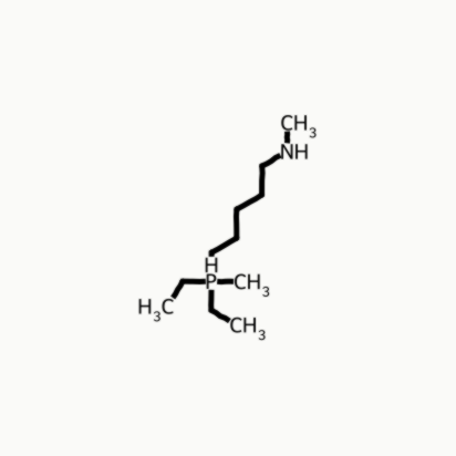 CC[PH](C)(CC)CCCCCNC